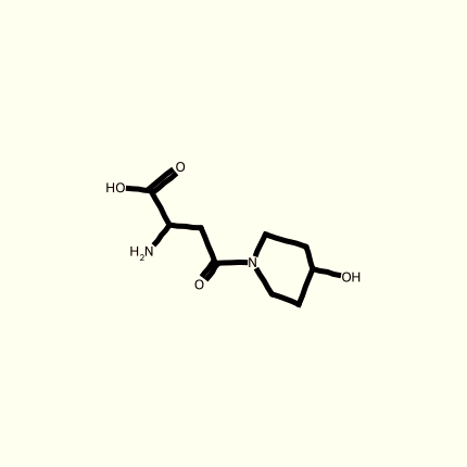 NC(CC(=O)N1CCC(O)CC1)C(=O)O